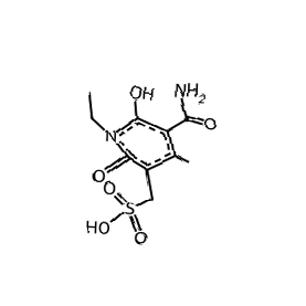 CCn1c(O)c(C(N)=O)c(C)c(CS(=O)(=O)O)c1=O